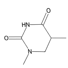 CC1CN(C)C(=O)NC1=O